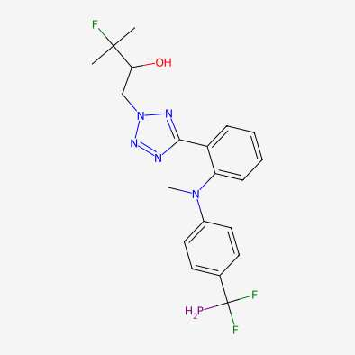 CN(c1ccc(C(F)(F)P)cc1)c1ccccc1-c1nnn(CC(O)C(C)(C)F)n1